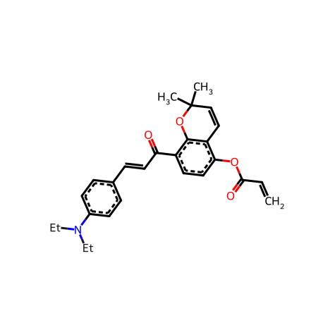 C=CC(=O)Oc1ccc(C(=O)/C=C/c2ccc(N(CC)CC)cc2)c2c1C=CC(C)(C)O2